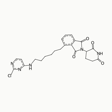 O=C1CCC(N2C(=O)c3cccc(CCCCCCNc4ccnc(Cl)n4)c3C2=O)C(=O)N1